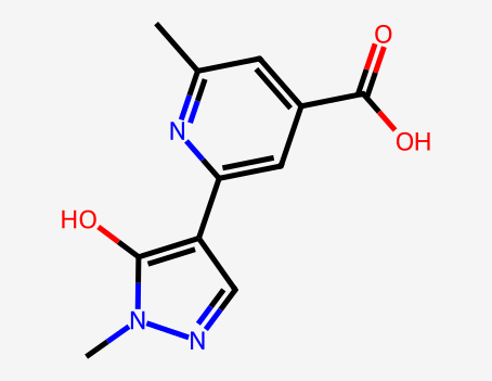 Cc1cc(C(=O)O)cc(-c2cnn(C)c2O)n1